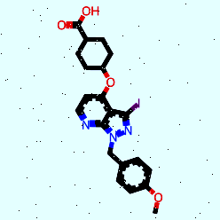 COc1ccc(Cn2nc(I)c3c(OC4CCC(C(=O)O)CC4)ccnc32)cc1